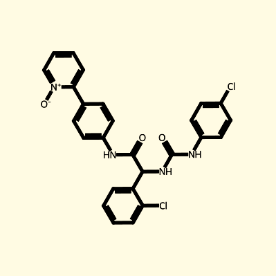 O=C(Nc1ccc(Cl)cc1)NC(C(=O)Nc1ccc(-c2cccc[n+]2[O-])cc1)c1ccccc1Cl